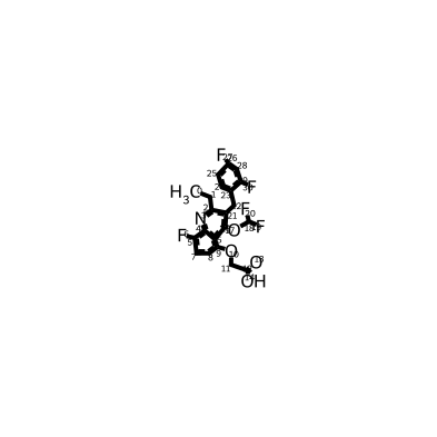 CCc1nc2c(F)ccc(OCC(=O)O)c2c(OC(F)F)c1Cc1ccc(F)cc1F